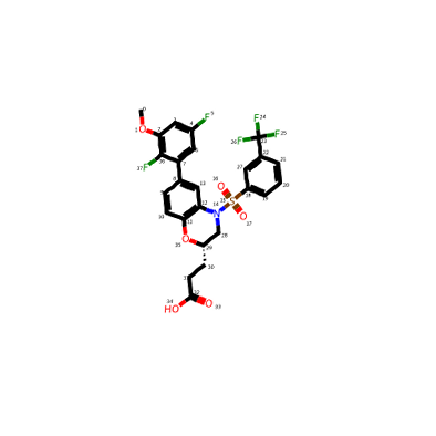 COc1cc(F)cc(-c2ccc3c(c2)N(S(=O)(=O)c2cccc(C(F)(F)F)c2)C[C@H](CCC(=O)O)O3)c1F